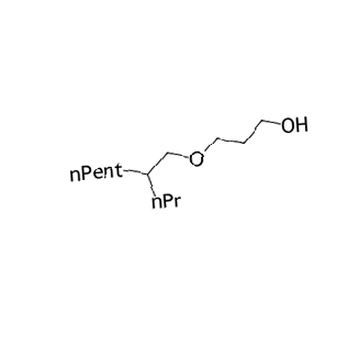 CCCCCC(CCC)COCCCO